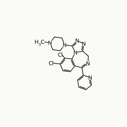 CN1CCN(c2nnc3n2-c2c(ccc(Cl)c2Cl)C(c2ccccn2)=NC3)CC1